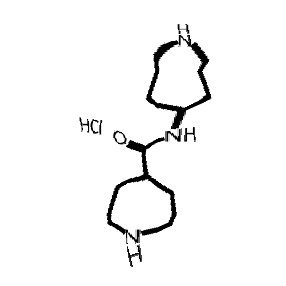 Cl.O=C(NC1CCNCC1)C1CCNCC1